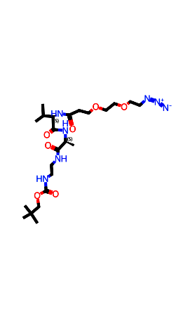 CC(C)[C@H](NC(=O)CCOCCOCCN=[N+]=[N-])C(=O)N[C@@H](C)C(=O)NCCNC(=O)OCC(C)(C)C